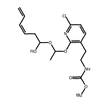 C=C/C=C\CC(O)OC(C)Oc1nc(Cl)ccc1CCNC(=O)OC(C)(C)C